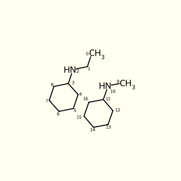 CCNC1CCCCC1.CNC1CCCCC1